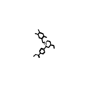 C=C(CC)c1ccc(C2CC(CC)CCN2CC2=C(C)C=C(C)C(C)C2)cc1